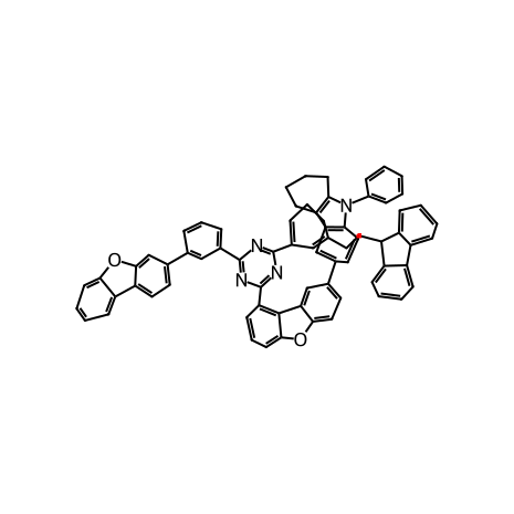 C1=C(CCC2c3ccccc3-c3ccccc32)CCC=C1c1nc(-c2cccc(-c3ccc4c(c3)oc3ccccc34)c2)nc(-c2cccc3oc4ccc(-c5ccc6c(c5)c5c(n6-c6ccccc6)CCCC5)cc4c23)n1